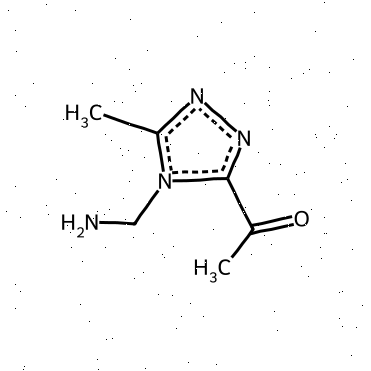 CC(=O)c1nnc(C)n1CN